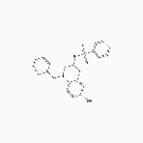 N#Cc1ccc2c(c1)CC(NS(=O)(=O)c1ccccc1)CN2Cc1ccccn1